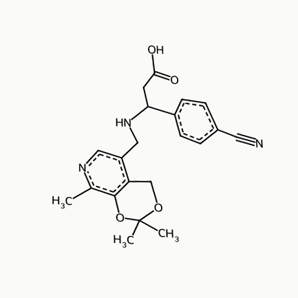 Cc1ncc(CNC(CC(=O)O)c2ccc(C#N)cc2)c2c1OC(C)(C)OC2